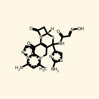 Cc1cc(N)n2nccc2[n+]1CC1=C(C(=O)[O-])N2C(=O)C[C@@H]2SC1(NC(=O)C=NO)c1csc(N)n1